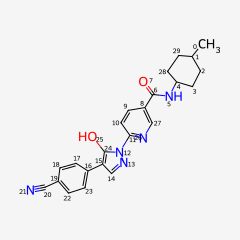 CC1CCC(NC(=O)c2ccc(-n3ncc(-c4ccc(C#N)cc4)c3O)nc2)CC1